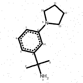 CC(C)(N)c1cccc(N2CCCC2)c1